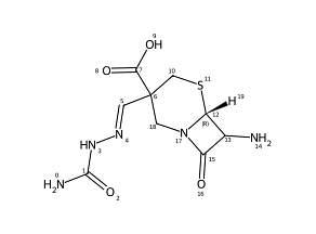 NC(=O)NN=CC1(C(=O)O)CS[C@@H]2C(N)C(=O)N2C1